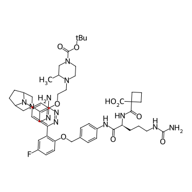 CC1CN(C(=O)OC(C)(C)C)CCN1CCOc1cc(N2C3CCC2CN(c2cc(-c4cc(F)ccc4OCc4ccc(NC(=O)[C@H](CCCNC(N)=O)NC(=O)C5(C(=O)O)CCC5)cc4)nnc2N)C3)ccn1